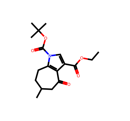 CCOC(=O)c1cn(C(=O)OC(C)(C)C)c2c1C(=O)CC(C)CC2